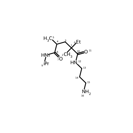 CCC(C)(CC(C)C(=O)NC(C)C)C(=O)NCCCN